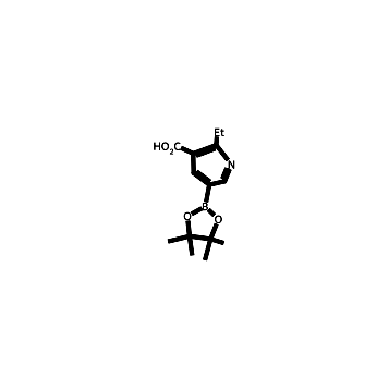 CCc1ncc(B2OC(C)(C)C(C)(C)O2)cc1C(=O)O